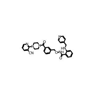 N#Cc1cccnc1N1CCN(C(=O)c2cccc(CONC(=O)c3ccccc3NCc3ccncc3)c2)CC1